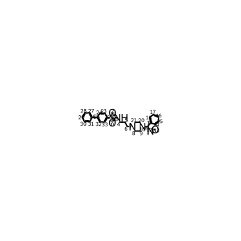 O=S(=O)(NCCCN1CCN(c2noc3ccccc23)CC1)c1ccc(-c2ccccc2)cc1